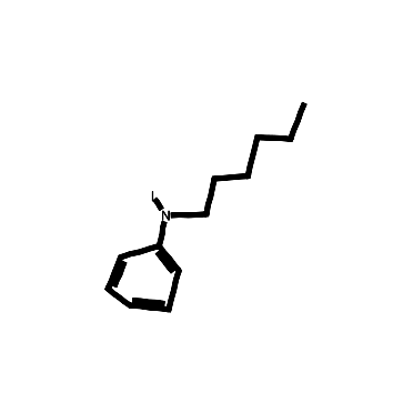 CCCCCCN(I)c1ccccc1